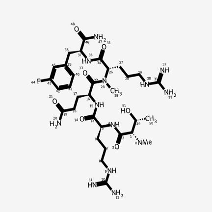 CN[C@H](C(=O)N[C@@H](CCCNC(=N)N)C(=O)N[C@@H](CCC(N)=O)C(=O)N(C)[C@@H](CCCNC(=N)N)C(=O)N[C@@H](Cc1cccc(F)c1)C(N)=O)[C@@H](C)O